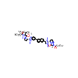 COC(=O)NC(C(=O)N1CCC[C@H]1C1NC=C(c2ccc3cc(-c4ccc5nc([C@@H]6CCCN6C(=O)[C@@H](NC(=O)OC)[C@@H](C)OC)[nH]c5c4)ccc3c2)N1)C(C)C